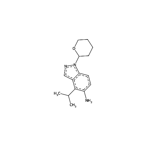 CC(C)c1c(N)ccc2c1cnn2C1CCCCO1